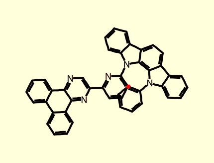 c1ccc(-n2c3ccccc3c3ccc4c5ccccc5n(-c5cccc(-c6cnc7c8ccccc8c8ccccc8c7n6)n5)c4c32)cc1